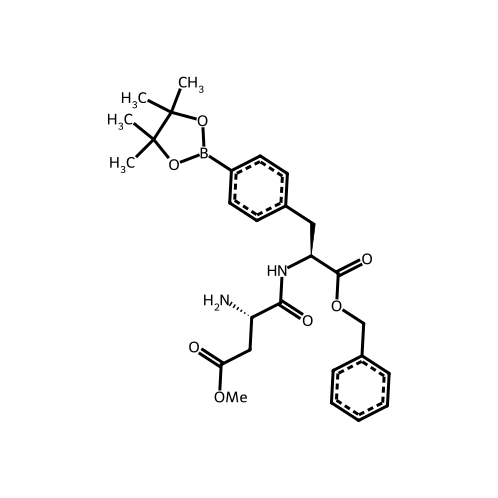 COC(=O)C[C@H](N)C(=O)N[C@@H](Cc1ccc(B2OC(C)(C)C(C)(C)O2)cc1)C(=O)OCc1ccccc1